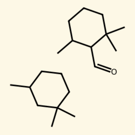 CC1CCCC(C)(C)C1.CC1CCCC(C)(C)C1C=O